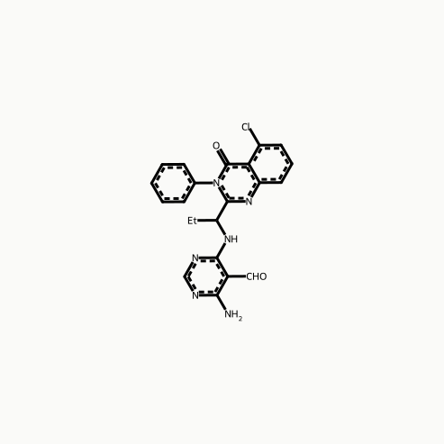 CCC(Nc1ncnc(N)c1C=O)c1nc2cccc(Cl)c2c(=O)n1-c1ccccc1